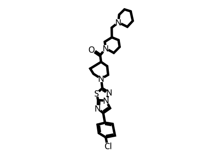 O=C(C1CCN(c2nn3cc(-c4ccc(Cl)cc4)nc3s2)CC1)N1CCCC(CN2CCCCC2)C1